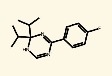 CC(C)C1(C(C)C)N=C(c2ccc(F)cc2)N=CN1